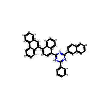 c1ccc(-c2nc(-c3ccc4ccccc4c3)nc(-c3ccc(-c4cc5ccccc5c5ccccc45)c4ccccc34)n2)cc1